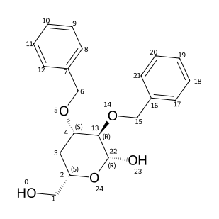 OC[C@@H]1C[C@H](OCc2ccccc2)[C@@H](OCc2ccccc2)[C@H](O)O1